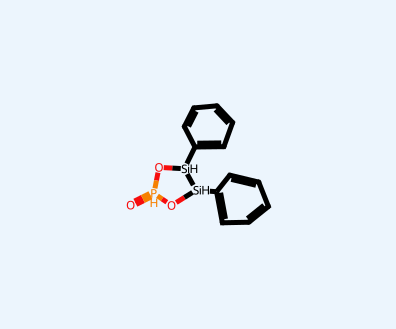 O=[PH]1O[SiH](c2ccccc2)[SiH](c2ccccc2)O1